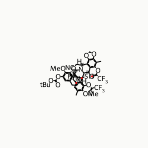 COc1cc2c(cc1OC(=O)OC(C)(C)C)CCN[C@]21CS[C@@H]2c3c(OC(=O)C(F)(F)F)c(C)c4c(c3[C@H](COC1=O)N1C2C2c3c(cc(C)c(OC)c3OC(=O)C(F)(F)F)C[C@@H]([C@@H]1C#N)N2C)OCO4